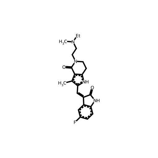 CCN(C)CCN1CCc2[nH]c(/C=C3\C(=O)Nc4ccc(F)cc43)c(C)c2C1=O